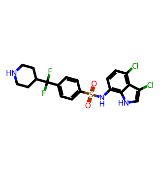 O=S(=O)(Nc1ccc(Cl)c2c(Cl)c[nH]c12)c1ccc(C(F)(F)C2CCNCC2)cc1